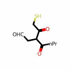 CCCC(=O)C(CC=O)C(=O)CS